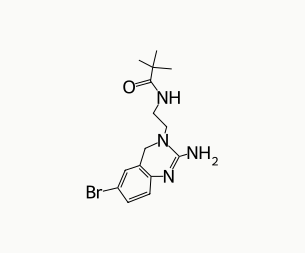 CC(C)(C)C(=O)NCCN1Cc2cc(Br)ccc2N=C1N